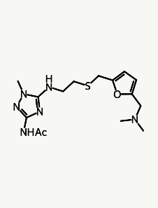 CC(=O)Nc1nc(NCCSCc2ccc(CN(C)C)o2)n(C)n1